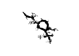 CCC(=O)Nc1ccc(F)c(C(F)(F)F)c1